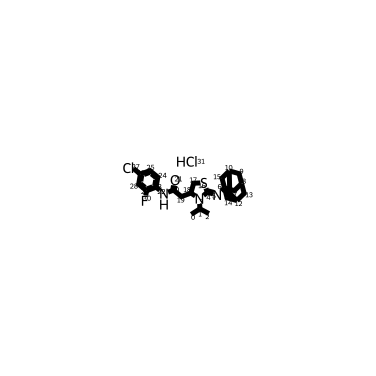 CC(C)N1/C(=N/C23CC4CC(CC(C4)C2)C3)SCC1CC(=O)Nc1ccc(Cl)cc1F.Cl